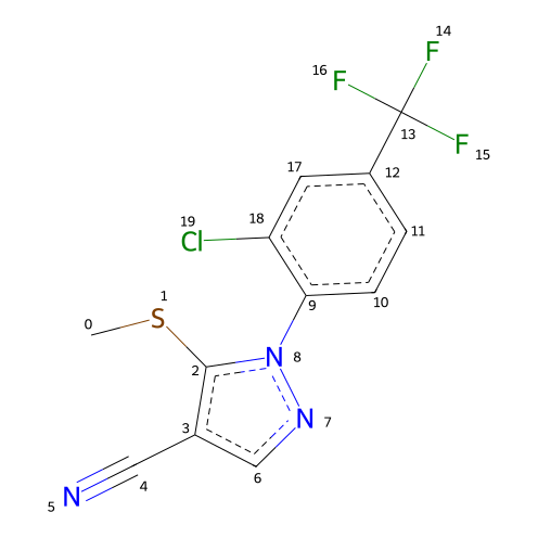 CSc1c(C#N)cnn1-c1ccc(C(F)(F)F)cc1Cl